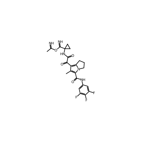 CC(=N)OC(=N)C1(NC(=O)C(=O)c2c(C)c(C(=O)Nc3cc(F)c(F)c(F)c3)n3c2CCC3)CC1